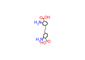 Nc1cc(CCc2ccc(C(=O)O)c(N)c2)ccc1C(=O)O